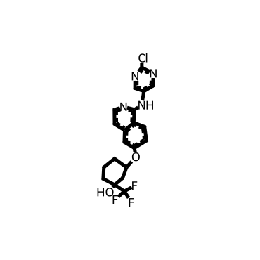 OC1(C(F)(F)F)CCCC(Oc2ccc3c(Nc4cnc(Cl)nc4)nccc3c2)C1